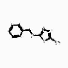 Nc1nnc(SCc2ccccc2)s1